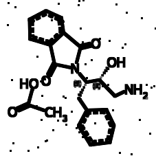 CC(=O)O.NC[C@@H](O)[C@H](Cc1ccccc1)N1C(=O)c2ccccc2C1=O